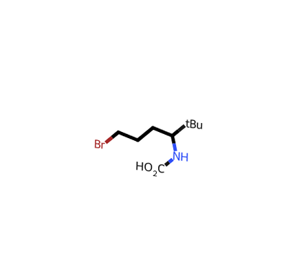 CC(C)(C)C(CCCBr)NC(=O)O